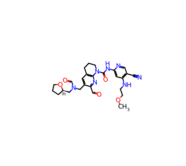 COCCNc1cc(NC(=O)N2CCCc3cc(CN(C=O)C[C@H]4CCCO4)c(C=O)nc32)ncc1C#N